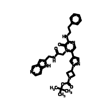 CC(C)(C)OC(=O)N1CC(n2cc(-c3cnc(NCCc4ccccc4)c(=O)n3CC(=O)NCc3cc4cnccc4[nH]3)cn2)C1